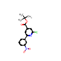 CC(C)(C)OC(=O)c1cc(Cl)nc(-c2cccc([N+](=O)[O-])c2)c1